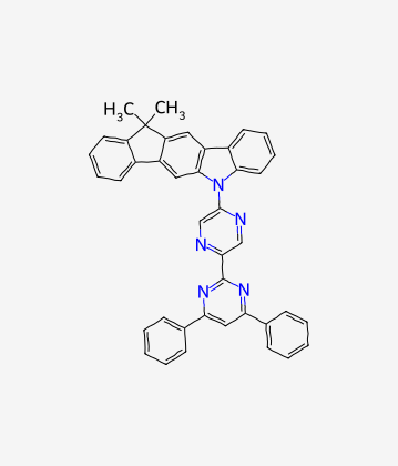 CC1(C)c2ccccc2-c2cc3c(cc21)c1ccccc1n3-c1cnc(-c2nc(-c3ccccc3)cc(-c3ccccc3)n2)cn1